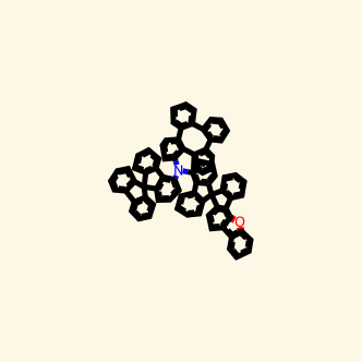 c1ccc2c(c1)-c1ccccc1-c1cccc(N(c3cccc4c3-c3ccccc3C43c4ccccc4-c4ccccc43)c3cccc4c3-c3ccccc3C43c4ccccc4-c4c3ccc3c4oc4ccccc43)c1-c1ccccc1-2